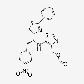 O=COCc1ncsc1N[C@@H](Cc1ccc([N+](=O)[O-])cc1)c1csc(-c2ccccc2)n1